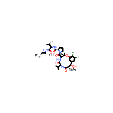 C=C(C)C1NC(=O)[C@@H](NC)[C@@H](O)c2cc(Cl)c(Cl)c(c2)O[C@](C)(CC)C(C(=O)N2CC=C[C@H]2C(=O)N/C(C(=O)N/C(=C/C(=O)O)C(=O)O)=C(/C)CC)NC1=O